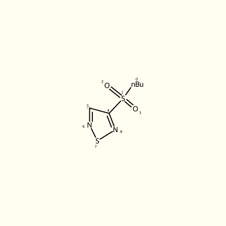 CCCCS(=O)(=O)c1[c]nsn1